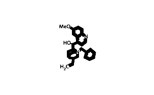 C=CC1C[N+]2(Cc3ccccc3)CCC1CC2[C@H](O)c1ccnc2ccc(OC)cc12